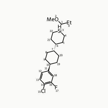 CCC(OC)[SiH]1CCC([C@H]2CC[C@H](c3ccc(Cl)c(F)c3)CC2)CC1